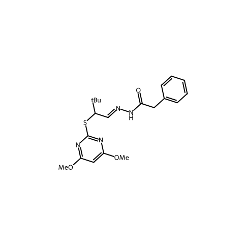 COc1cc(OC)nc(SC(C=NNC(=O)Cc2ccccc2)C(C)(C)C)n1